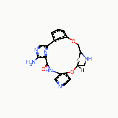 Nc1ncc2nc1C(=O)Nc1cnccc1O[C@H]1CNC(COc3cccc-2c3)C1